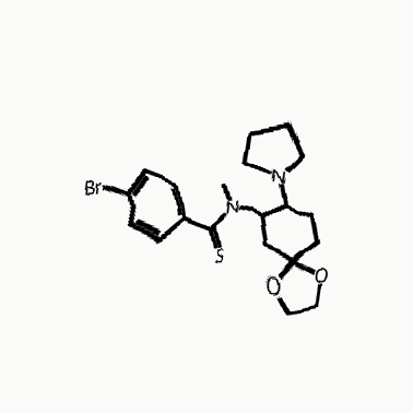 CN(C(=S)c1ccc(Br)cc1)C1CC2(CCC1N1CCCC1)OCCO2